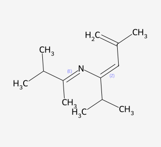 C=C(C)/C=C(\N=C(/C)C(C)C)C(C)C